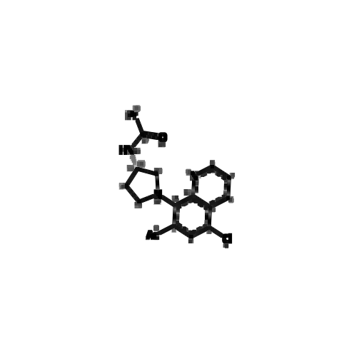 CC(=O)c1cc(Cl)c2cccnc2c1N1CC[C@H](NC(=O)C(C)C)C1